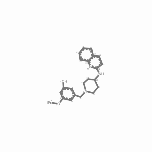 CC(C)Oc1cc(O)cc(CN2CCC(Nc3ccc4ccccc4n3)CC2)c1